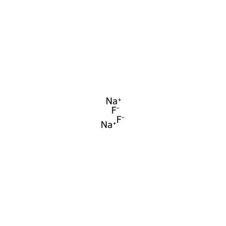 [F-].[F-].[Na+].[Na+]